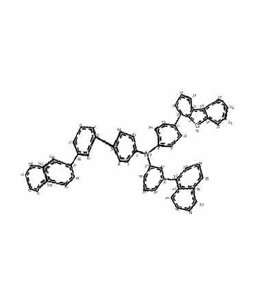 c1cc(-c2ccc(N(c3ccc(-c4cccc5c4oc4ccccc45)cc3)c3cccc(-c4cccc5ccccc45)c3)cc2)cc(-c2ccc3ccccc3c2)c1